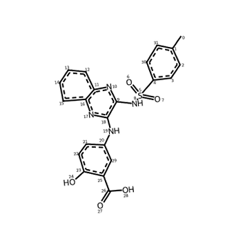 Cc1ccc(S(=O)(=O)Nc2nc3ccccc3nc2Nc2ccc(O)c(C(=O)O)c2)cc1